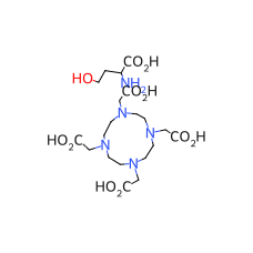 NC(CCO)C(=O)O.O=C(O)CN1CCN(CC(=O)O)CCN(CC(=O)O)CCN(CC(=O)O)CC1